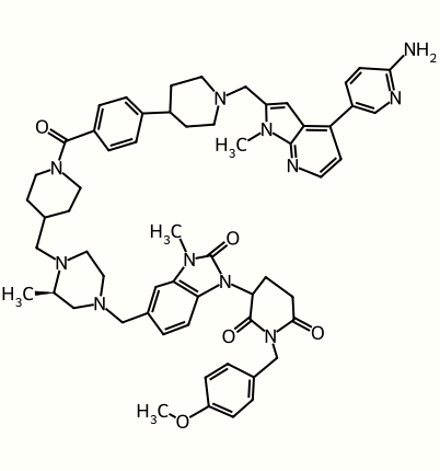 COc1ccc(CN2C(=O)CCC(n3c(=O)n(C)c4cc(CN5CCN(CC6CCN(C(=O)c7ccc(C8CCN(Cc9cc%10c(-c%11ccc(N)nc%11)ccnc%10n9C)CC8)cc7)CC6)[C@H](C)C5)ccc43)C2=O)cc1